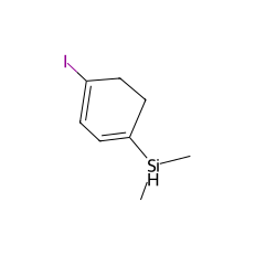 C[SiH](C)C1=CC=C(I)CC1